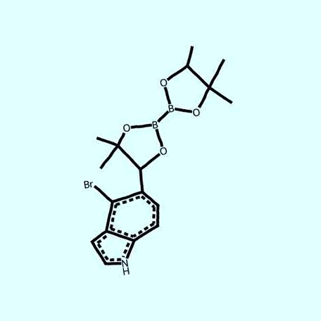 CC1OB(B2OC(c3ccc4[nH]ccc4c3Br)C(C)(C)O2)OC1(C)C